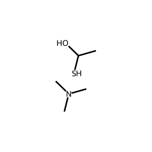 CC(O)S.CN(C)C